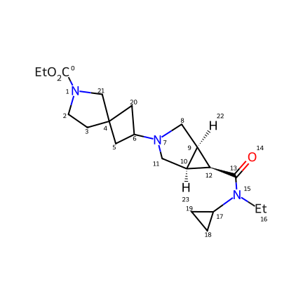 CCOC(=O)N1CCC2(CC(N3C[C@@H]4[C@H](C3)[C@@H]4C(=O)N(CC)C3CC3)C2)C1